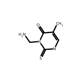 CC1=C[N]C(=S)N(CN)C1=O